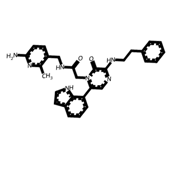 Cc1nc(N)ccc1CNC(=O)Cn1c(-c2cccc3cc[nH]c23)cnc(NCCc2ccccc2)c1=O